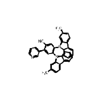 N#Cc1cc(-n2c3ccccc3c3ccc(C(F)(F)F)cc32)c(-n2c3ccccc3c3ccc(C(F)(F)F)cc32)cc1-c1cccnc1